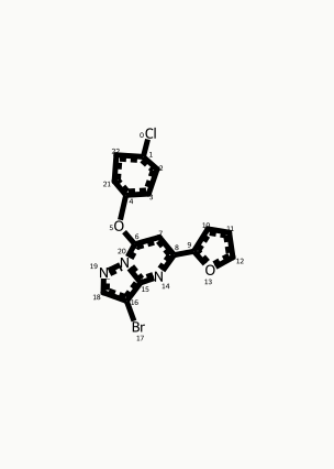 Clc1ccc(Oc2cc(-c3ccco3)nc3c(Br)cnn23)cc1